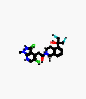 C[C@H]1c2cccc(C(O)(CF)CF)c2CCN1C(=O)Cc1c(Cl)cnc2c1c(Cl)nn2C